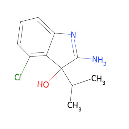 CC(C)C1(O)C(N)=Nc2cccc(Cl)c21